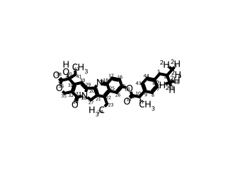 [2H]C([2H])([2H])C(Cc1ccc([C@H](C)C(=O)Oc2ccc3nc4c(c(CC)c3c2)Cn2c-4cc3c(c2=O)COC(=O)[C@]3(O)CC)cc1)C([2H])([2H])[2H]